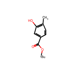 Cc1ccc(C(=O)OC(C)(C)C)cc1O